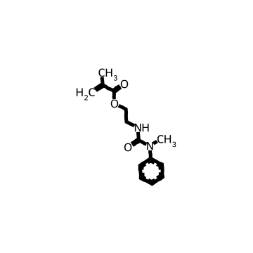 C=C(C)C(=O)OCCNC(=O)N(C)c1ccccc1